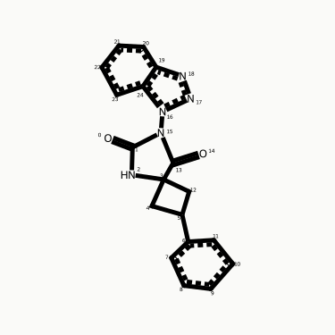 O=C1NC2(CC(c3ccccc3)C2)C(=O)N1n1nnc2ccccc21